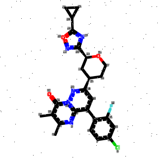 Cc1nc2c(-c3ccc(Cl)cc3F)cc([C@@H]3CCO[C@H](c4noc(C5CC5)n4)C3)nn2c(=O)c1C